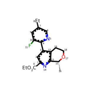 CCOC(=O)c1cc(-c2ncc(CC)cc2F)c2c(n1)[C@@H](C)OCC2